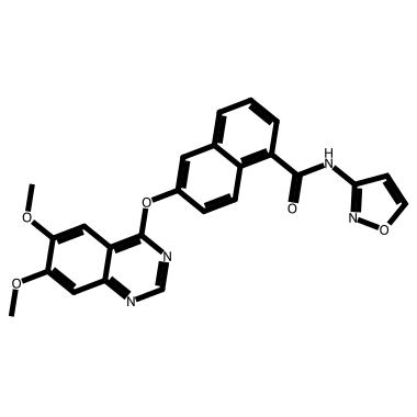 COc1cc2ncnc(Oc3ccc4c(C(=O)Nc5ccon5)cccc4c3)c2cc1OC